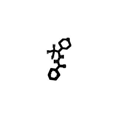 O=C(NNC(C1CCOCC1)C(F)(F)F)c1ccccc1